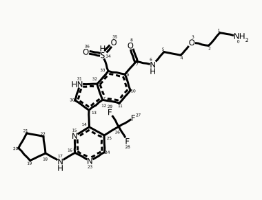 NCCOCCNC(=O)c1ccc2c(-c3nc(NC4CCCC4)ncc3C(F)(F)F)c[nH]c2c1[SH](=O)=O